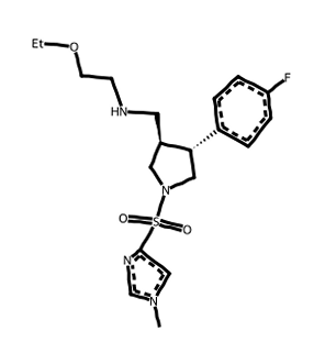 CCOCCNC[C@@H]1CN(S(=O)(=O)c2cn(C)cn2)C[C@H]1c1ccc(F)cc1